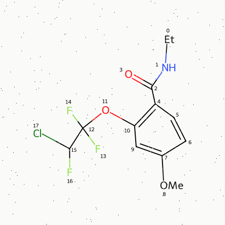 CCNC(=O)c1ccc(OC)cc1OC(F)(F)C(F)Cl